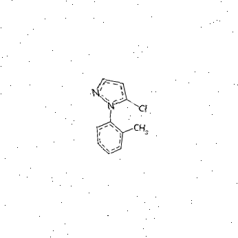 Cc1ccccc1-n1nccc1Cl